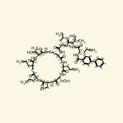 CCCCCCCC[C@H]1NC(=O)[C@H](CCN)NC(=O)[C@@H](NC(=O)[C@H](CCN)NC(=O)[C@@H](NC(=O)[C@H](CCN)NC(=O)c2ccc(-c3ccccc3)cc2)[C@@H](C)O)CCNC(=O)[C@H]([C@@H](C)O)NC(=O)[C@H](CCN)CC(=O)[C@H](CCN)NC(=O)[C@H](CC(C)C)NC1=O